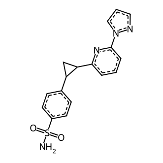 NS(=O)(=O)c1ccc(C2CC2c2cccc(-n3cccn3)n2)cc1